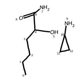 CCCCC(O)C(N)=O.NC1CC1